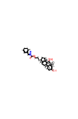 CC[C@H]1[C@@H](O)[C@@H]2[C@H](CC[C@]3(C)[C@@H](CCCOC(=O)NCc4ccccc4)CC[C@@H]23)[C@@]2(C)CC[C@@H](O)C[C@@H]12